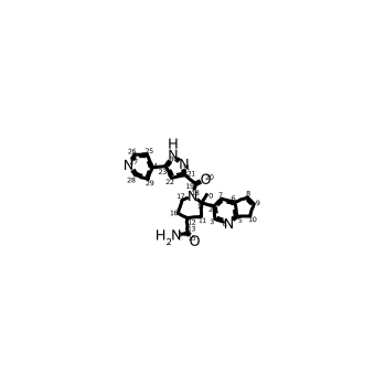 CC1(c2cnc3c(c2)C=CC3)CC(C(N)=O)CCN1C(=O)c1cc(-c2ccncc2)[nH]n1